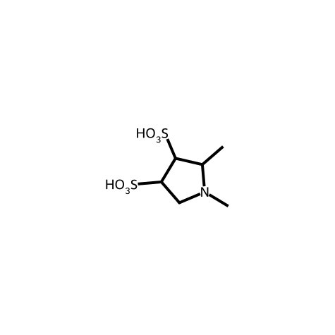 CC1C(S(=O)(=O)O)C(S(=O)(=O)O)CN1C